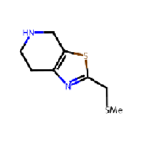 CSCc1nc2c(s1)CNCC2